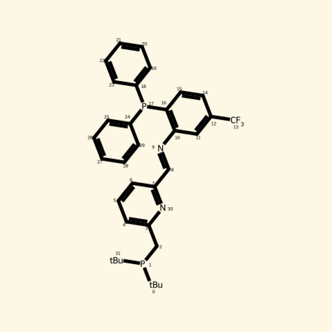 CC(C)(C)P(Cc1cccc(/C=N/c2cc(C(F)(F)F)ccc2P(c2ccccc2)c2ccccc2)n1)C(C)(C)C